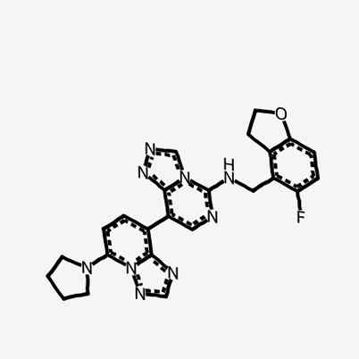 Fc1ccc2c(c1CNc1ncc(-c3ccc(N4CCCC4)n4ncnc34)c3nncn13)CCO2